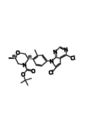 Cc1cc(-n2c(Cl)cc3c(Cl)ncnc32)ccc1[C@H]1CO[C@H](C)CN1C(=O)OC(C)(C)C